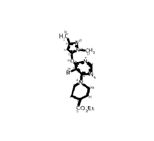 CCOC(=O)C1CCN(c2ncnc(Oc3cc(C)nn3C)c2Br)CC1